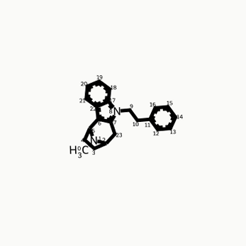 CN1C2CCC1c1c(n(CCc3ccccc3)c3ccccc13)C2